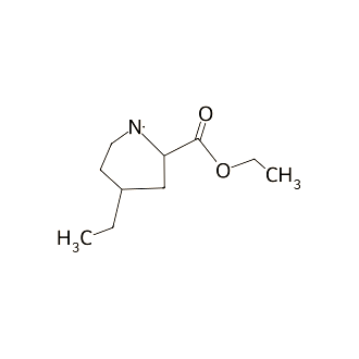 CCOC(=O)C1CC(CC)CC[N]1